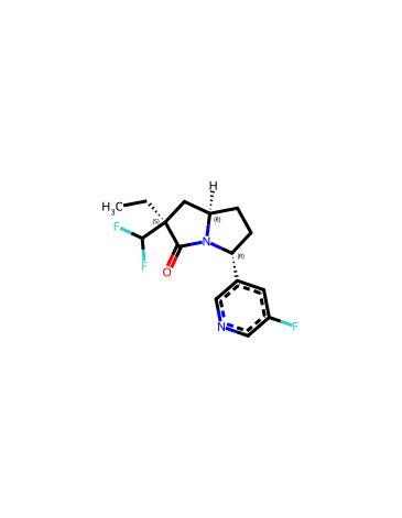 CC[C@]1(C(F)F)C[C@H]2CC[C@H](c3cncc(F)c3)N2C1=O